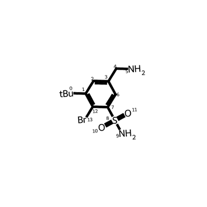 CC(C)(C)c1cc(CN)cc(S(N)(=O)=O)c1Br